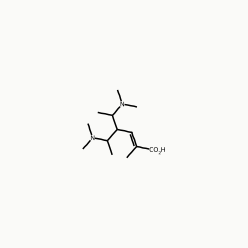 C/C(=C\C(C(C)N(C)C)C(C)N(C)C)C(=O)O